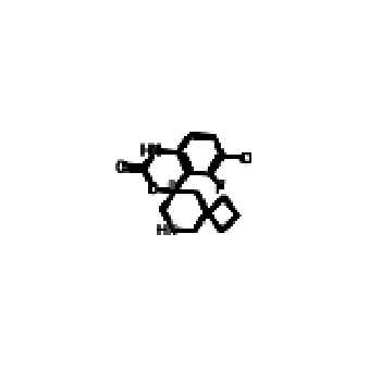 O=C1Nc2ccc(Cl)c(F)c2[C@@]2(CNCC3(CCC3)C2)O1